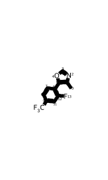 Cc1ncoc1-c1ccc(C(F)(F)F)cc1F